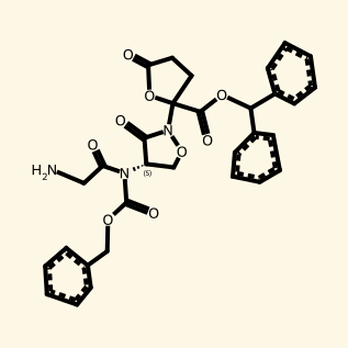 NCC(=O)N(C(=O)OCc1ccccc1)[C@H]1CON(C2(C(=O)OC(c3ccccc3)c3ccccc3)CCC(=O)O2)C1=O